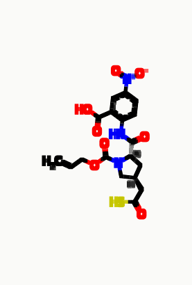 C=CCOC(=O)N1C[C@H](CC(=O)S)C[C@H]1C(=O)Nc1ccc([N+](=O)[O-])cc1C(=O)O